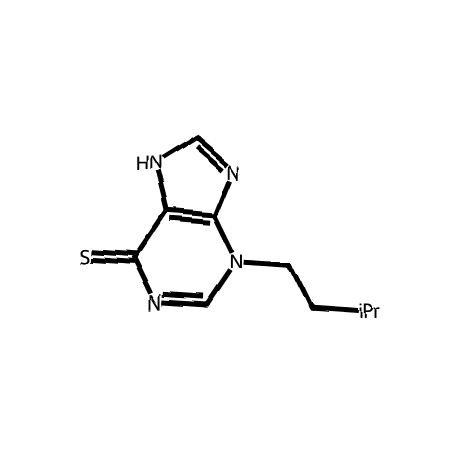 CC(C)CCn1cnc(=S)c2[nH]cnc21